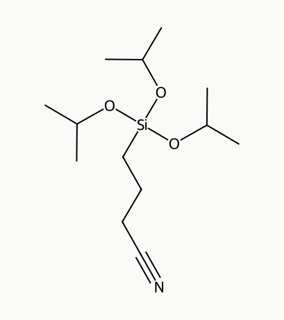 CC(C)O[Si](CCCC#N)(OC(C)C)OC(C)C